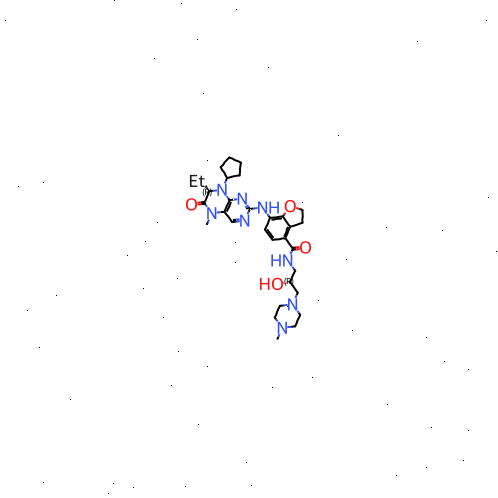 CC[C@@H]1C(=O)N(C)c2cnc(Nc3ccc(C(=O)NC[C@@H](O)CN4CCN(C)CC4)c4c3OCC4)nc2N1C1CCCC1